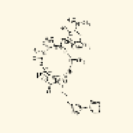 CC[C@H]1OC(=O)[C@H](C)C(=O)[C@@H](C)[C@@H](O[C@@H]2OC(C)CC(N(C)C)C2O)[C@](C)(OC)C[C@@H](C)CN[C@H](C)[C@H]2N(CCCCn3cc(-c4cccnn4)nn3)C(=O)O[C@]12C